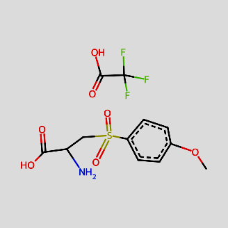 COc1ccc(S(=O)(=O)CC(N)C(=O)O)cc1.O=C(O)C(F)(F)F